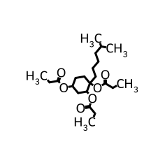 CCC(=O)OC1CCC(CCCCC(C)C)(OC(=O)CC)C(OC(=O)CC)C1